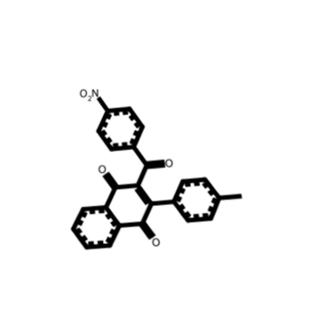 Cc1ccc(C2=C(C(=O)c3ccc([N+](=O)[O-])cc3)C(=O)c3ccccc3C2=O)cc1